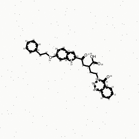 O=C(CC(CCn1nnc2ccccc2c1=O)C(=O)O)c1cc2ccc(OCCc3ccccc3)cc2s1